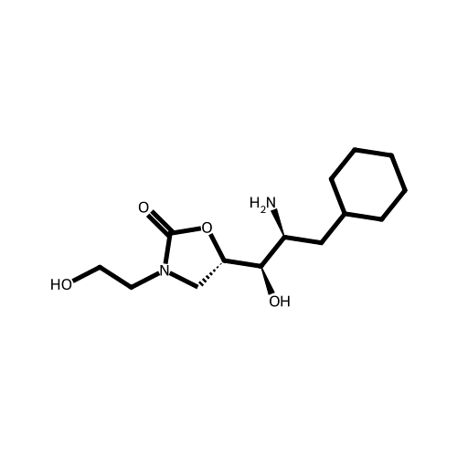 N[C@@H](CC1CCCCC1)[C@@H](O)[C@@H]1CN(CCO)C(=O)O1